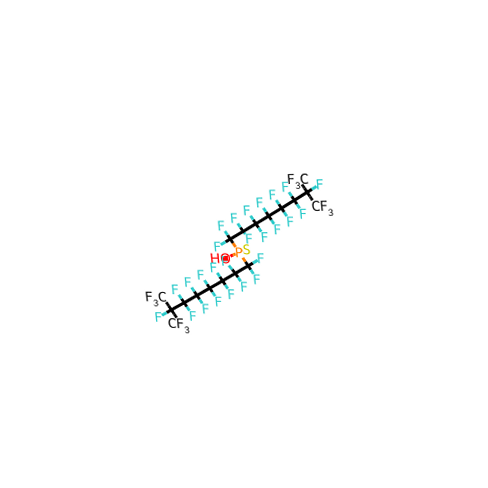 OP(=S)(C(F)(F)C(F)(F)C(F)(F)C(F)(F)C(F)(F)C(F)(F)C(F)(C(F)(F)F)C(F)(F)F)C(F)(F)C(F)(F)C(F)(F)C(F)(F)C(F)(F)C(F)(F)C(F)(C(F)(F)F)C(F)(F)F